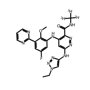 [2H]C([2H])([2H])NC(=O)c1nnc(Nc2cn(CC)nn2)cc1Nc1cc(F)cc(-c2ncccn2)c1OC